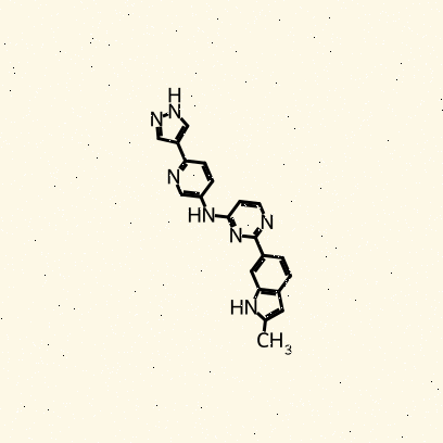 Cc1cc2ccc(-c3nccc(Nc4ccc(-c5cn[nH]c5)nc4)n3)cc2[nH]1